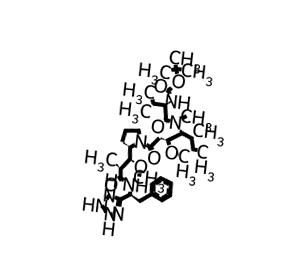 CC[C@H](C)[C@@H]([C@@H](CC(=O)N1CCC[C@H]1[C@H](OC)[C@@H](C)C(=O)N[C@@H](Cc1ccccc1)C1=NNNN1)OC)N(C)C(=O)[C@@H](NC(=O)OC(C)(C)C)C(C)C